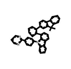 CC1(C)c2ccccc2-c2ccc(-c3ccccc3-c3cccc4c5ccccc5n(-c5ccc(-c6ncccn6)cc5)c34)cc21